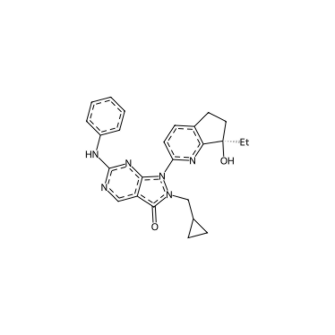 CC[C@@]1(O)CCc2ccc(-n3c4nc(Nc5ccccc5)ncc4c(=O)n3CC3CC3)nc21